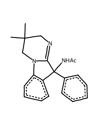 CC(=O)NC1(c2ccccc2)C2=NCC(C)(C)CN2c2ccccc21